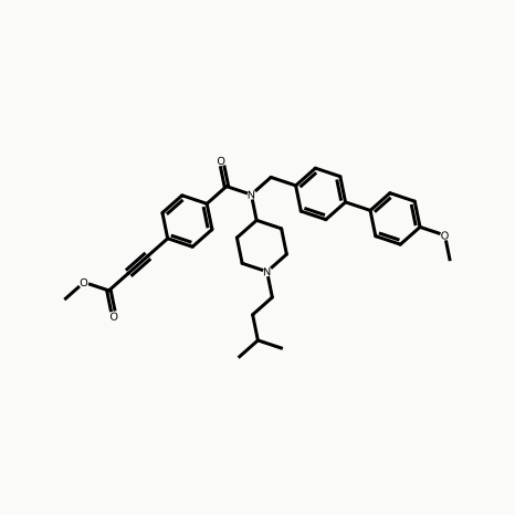 COC(=O)C#Cc1ccc(C(=O)N(Cc2ccc(-c3ccc(OC)cc3)cc2)C2CCN(CCC(C)C)CC2)cc1